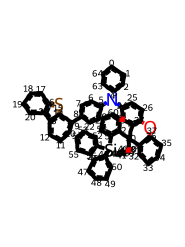 c1ccc(N(c2ccc(-c3cccc4c3sc3ccccc34)cc2)c2ccc3c(c2)C2(c4ccccc4O3)c3ccccc3[Si](c3ccccc3)(c3ccccc3)c3ccccc32)cc1